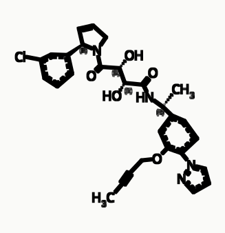 CC#CCOc1cc([C@@H](C)NC(=O)[C@H](O)[C@@H](O)C(=O)N2CC=C[C@@H]2c2cccc(Cl)c2)ccc1-n1cccn1